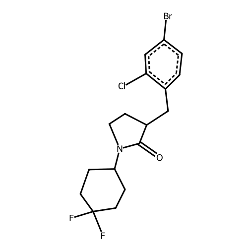 O=C1C(Cc2ccc(Br)cc2Cl)CCN1C1CCC(F)(F)CC1